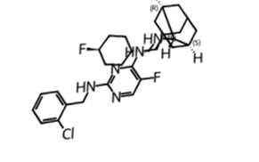 Fc1cnc(NCc2ccccc2Cl)nc1NC[C@]12CC3C[C@H](C1)[C@@H](NC[C@H]1CC[C@H](F)CC1)[C@@H](C3)C2